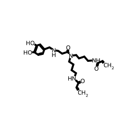 C=CC(=O)NCCCCN(CCCCNC(=O)C=C)C(=O)CCNCc1ccc(O)c(O)c1